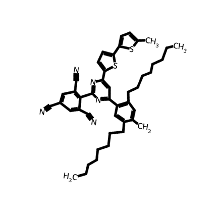 CCCCCCCCc1cc(-c2cc(-c3ccc(-c4ccc(C)s4)s3)nc(-c3c(C#N)cc(C#N)cc3C#N)n2)c(CCCCCCCC)cc1C